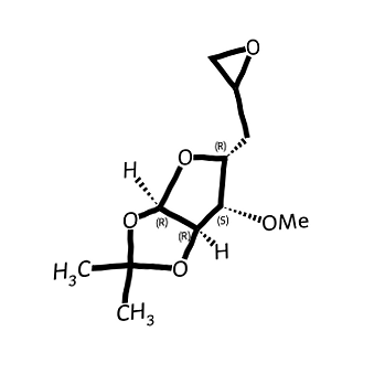 CO[C@@H]1[C@H]2OC(C)(C)O[C@H]2O[C@@H]1CC1CO1